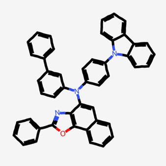 c1ccc(-c2cccc(N(c3ccc(-n4c5ccccc5c5ccccc54)cc3)c3cc4ccccc4c4oc(-c5ccccc5)nc34)c2)cc1